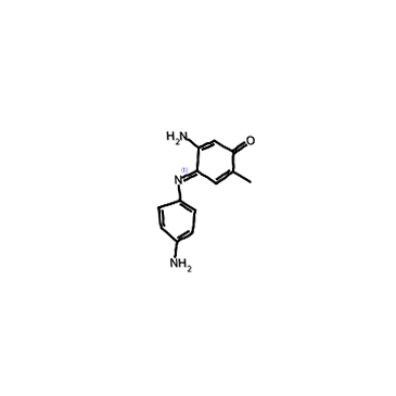 CC1=C/C(=N\c2ccc(N)cc2)C(N)=CC1=O